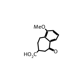 COc1cccc2c1CCC(C(=O)O)CC2=O